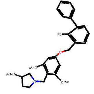 COc1cc(OCc2cccc(-c3ccccc3)c2C#N)cc(OC)c1CN1CCC(NC(C)=O)C1